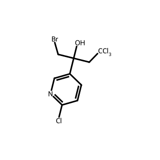 OC(CBr)(CC(Cl)(Cl)Cl)c1ccc(Cl)nc1